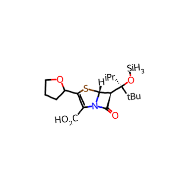 CC(C)[C@@](O[SiH3])([C@H]1C(=O)N2C(C(=O)O)=C(C3CCCO3)S[C@H]12)C(C)(C)C